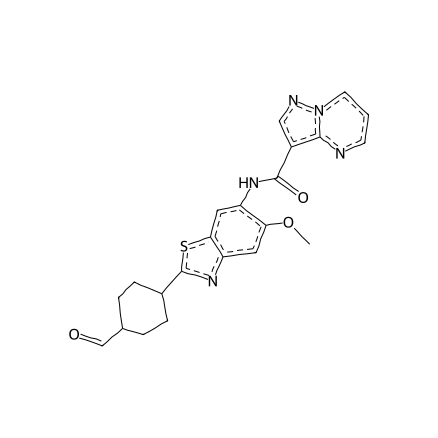 COc1cc2nc(C3CCC(C=O)CC3)sc2cc1NC(=O)c1cnn2cccnc12